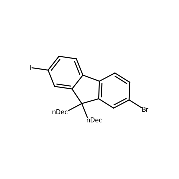 CCCCCCCCCCC1(CCCCCCCCCC)c2cc(Br)ccc2-c2ccc(I)cc21